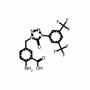 Nc1ccc(Cn2nnn(-c3cc(C(F)(F)F)cc(C(F)(F)F)c3)c2=O)cc1C(=O)O